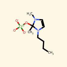 CCCCN1C=CN(C)C1(C)O[Cl+3]([O-])([O-])[O-]